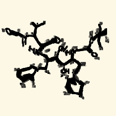 CC(C)[C@H](NC=O)C(=O)N[C@H](Cn1cccc1)[C@@H](O)[C@@H](O)C(Cn1cccc1)NC(=O)OC(C)(C)C